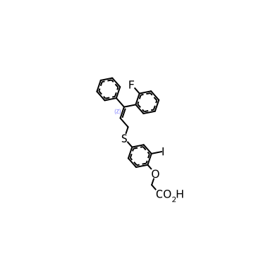 O=C(O)COc1ccc(SC/C=C(/c2ccccc2)c2ccccc2F)cc1I